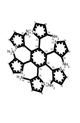 Nc1ccsc1-c1c(-c2sccc2N)c(-c2sccc2N)c(-c2sccc2N)c(-c2sccc2N)c1-c1sccc1N